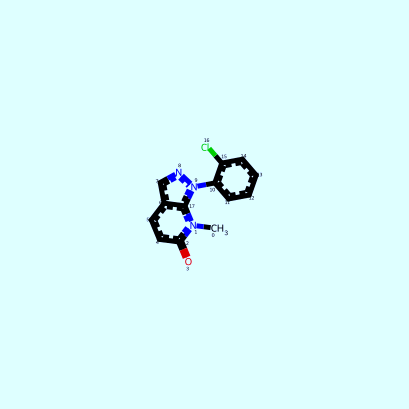 Cn1c(=O)ccc2cnn(-c3ccccc3Cl)c21